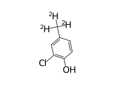 [2H]C([2H])([2H])c1ccc(O)c(Cl)c1